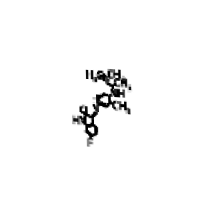 Cc1cc(NC=C2C(=O)Nc3cc(F)ccc32)ccc1NC(C)CN(C)C